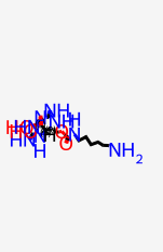 N=C1N[C@H]2[C@H](COC(=O)NCCCCCCN)NC(=N)N3CCC(O)(O)[C@]23N1